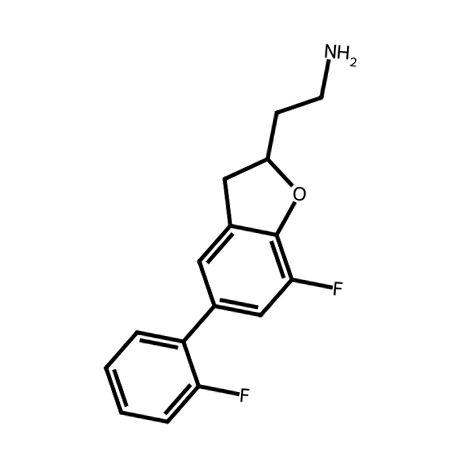 NCCC1Cc2cc(-c3ccccc3F)cc(F)c2O1